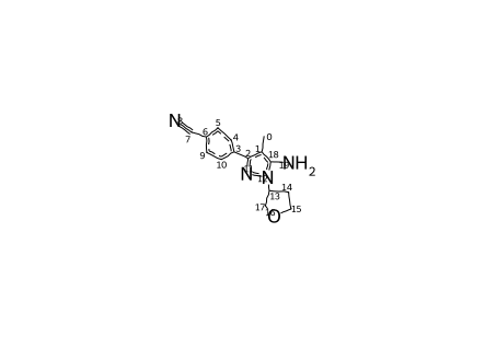 Cc1c(-c2ccc(C#N)cc2)nn(C2CCOC2)c1N